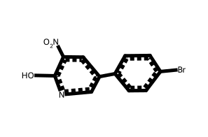 O=[N+]([O-])c1cc(-c2ccc(Br)cc2)cnc1O